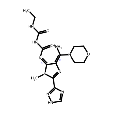 C=C(/N=C1\C(=C(/N)N2CCOCC2)N=C(c2nc[nH]n2)N1C)NC(=O)NCC